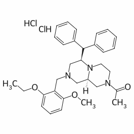 CCOc1cccc(OC)c1CN1C[C@@H]2CN(C(C)=O)CCN2[C@H](C(c2ccccc2)c2ccccc2)C1.Cl.Cl